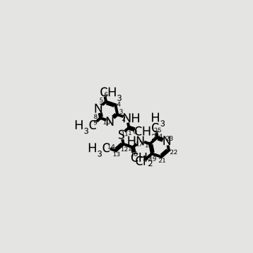 C=C(Nc1cc(C)nc(C)n1)S/C(=C\C)C(=C)Nc1c(Cl)ccnc1C